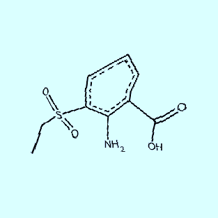 CCS(=O)(=O)c1cccc(C(=O)O)c1N